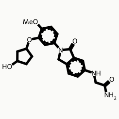 COc1ccc(N2Cc3ccc(NCC(N)=O)cc3C2=O)cc1OC1CCC(O)C1